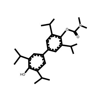 CC(C)c1cc(-c2cc(C(C)C)c(OC(=O)N(C)C)c(C(C)C)c2)cc(C(C)C)c1O